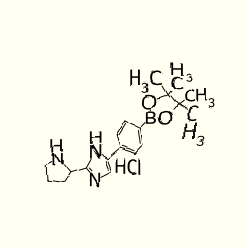 CC1(C)OB(c2ccc(-c3cnc(C4CCCN4)[nH]3)cc2)OC1(C)C.Cl